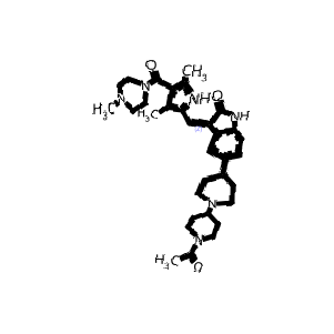 CC(=O)N1CCC(N2CCC(c3ccc4c(c3)/C(=C/c3[nH]c(C)c(C(=O)N5CCN(C)CC5)c3C)C(=O)N4)CC2)CC1